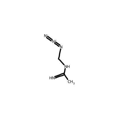 CC(=N)NCN=[N+]=[N-]